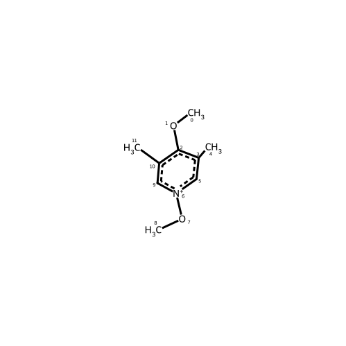 COc1c(C)c[n+](OC)cc1C